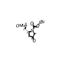 COC[C@H]1CC(=O)CN1C(=O)OC(C)(C)C